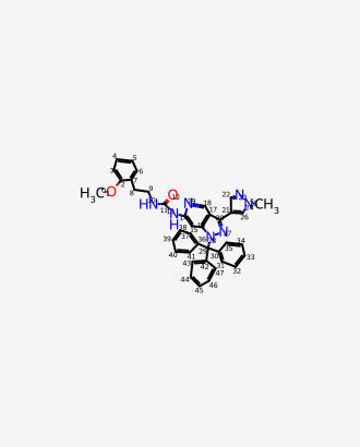 COc1ccccc1CCNC(=O)Nc1cc2c(cn1)c(-c1cnn(C)c1)nn2C(c1ccccc1)(c1ccccc1)c1ccccc1